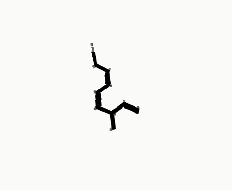 C=CC(C)/C=C\C=C/CI